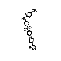 O=S(=O)(c1ccc(N2CCC(c3cnc[nH]3)CC2)cc1)N1CCC(Nc2ccc(C(F)(F)F)cn2)CC1